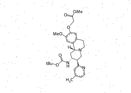 COC(=O)COc1cc2c(cc1OC)[C@H]1C[C@@H](NC(=O)OC(C)(C)C)[C@H](c3cc(C)ccn3)CN1CC2